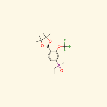 CC[P@](C)(=O)c1ccc(B2OC(C)(C)C(C)(C)O2)c(OC(F)(F)F)c1